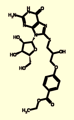 CCOC(=O)c1ccc(OCC(O)CSc2nc3c(=O)[nH]c(N)nc3n2[C@@H]2O[C@H](CO)[C@@H](O)[C@H]2O)cc1